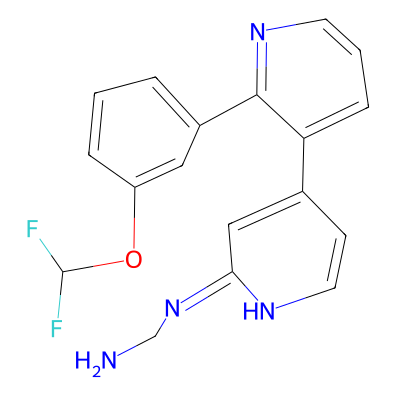 NC/N=c1/cc(-c2cccnc2-c2cccc(OC(F)F)c2)cc[nH]1